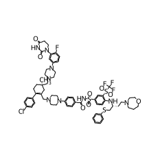 C[C@@]1(CN2CCN(c3ccc(F)c(N4CCC(=O)NC4=O)c3)CC2)CCC(c2ccc(Cl)cc2)=C(CN2CCN(c3ccc(C(=O)NS(=O)(=O)c4ccc(N[C@H](CCN5CCCOCC5)CSc5ccccc5)c(S(=O)(=O)C(F)(F)F)c4)cc3)CC2)C1